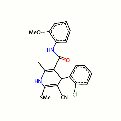 COc1ccccc1NC(=O)C1=C(C)NC(SC)=C(C#N)C1c1ccccc1Cl